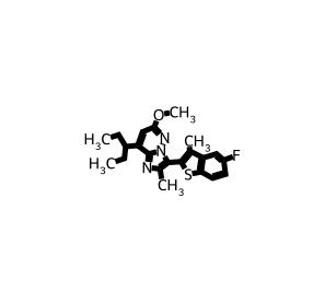 CCC(CC)c1cc(OC)nn2c(-c3sc4ccc(F)cc4c3C)c(C)nc12